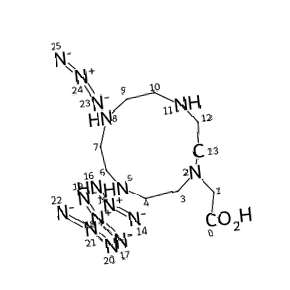 O=C(O)CN1CCNCCNCCNCC1.[N-]=[N+]=N.[N-]=[N+]=[N-].[N-]=[N+]=[N-].[N-]=[N+]=[N-]